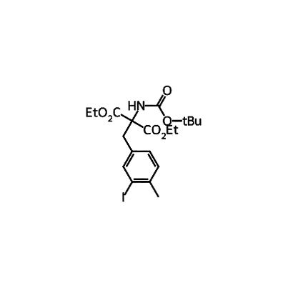 CCOC(=O)C(Cc1ccc(C)c(I)c1)(NC(=O)OC(C)(C)C)C(=O)OCC